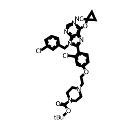 CC(C)(C)OC(=O)N1CCN(CCOc2ccc(-c3nc4c(OC5(C#N)CC5)ncnc4n3Cc3cccc(Cl)c3)c(Cl)c2)CC1